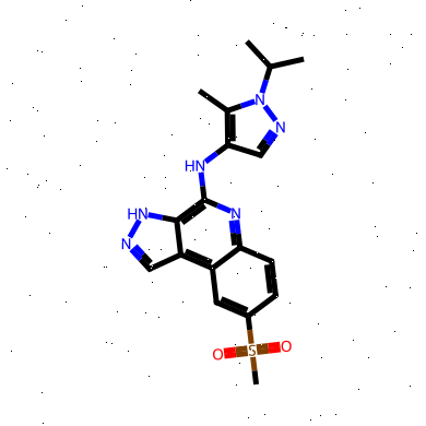 Cc1c(Nc2nc3ccc(S(C)(=O)=O)cc3c3cn[nH]c23)cnn1C(C)C